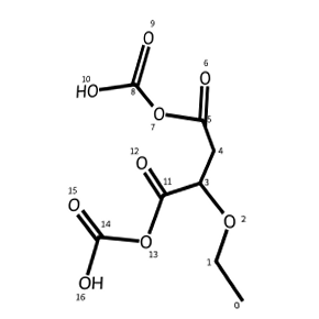 CCOC(CC(=O)OC(=O)O)C(=O)OC(=O)O